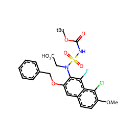 COc1ccc2cc(OCc3ccccc3)c(N(CC(=O)O)S(=O)(=O)NC(=O)OC(C)(C)C)c(F)c2c1Cl